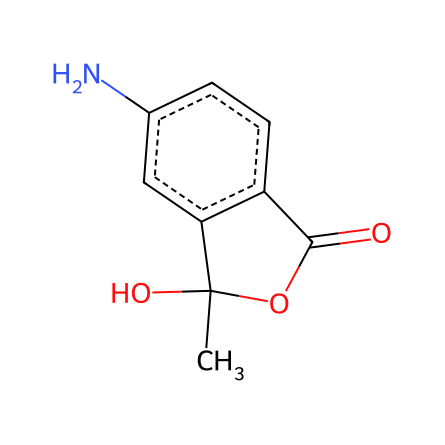 CC1(O)OC(=O)c2ccc(N)cc21